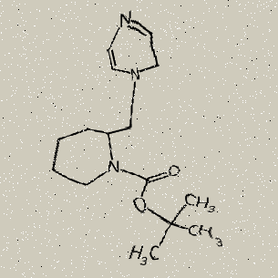 CC(C)(C)OC(=O)N1CCCCC1CN1C=CN=CC1